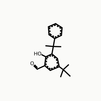 CC(C)(C)c1cc(C=O)c(O)c(C(C)(C)c2ccccc2)c1